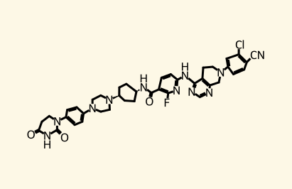 N#Cc1ccc(N2CCc3c(ncnc3Nc3ccc(C(=O)N[C@H]4CC[C@H](N5CCN(c6ccc(N7CCC(=O)NC7=O)cc6)CC5)CC4)c(F)n3)C2)cc1Cl